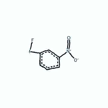 O=[N+]([O-])c1cccc([I]F)c1